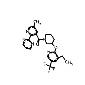 CCc1cc(C(F)(F)F)cnc1OC1CCCN(C(=O)c2cc(C)cnc2-c2ncccn2)C1